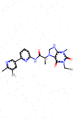 CC(=O)Cn1c(=O)c2c(n(C)c1=O)NCN2[C@@H](C)C(=O)Nc1cccc(-c2cnc(C)c(C(F)(F)F)c2)n1